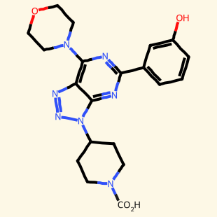 O=C(O)N1CCC(n2nnc3c(N4CCOCC4)nc(-c4cccc(O)c4)nc32)CC1